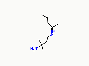 CCC/C(C)=N\CCC(C)(C)N